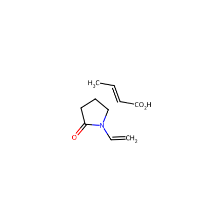 C=CN1CCCC1=O.CC=CC(=O)O